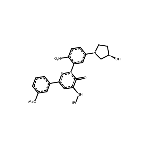 COc1cccc(-c2cc(NC(C)C)c(=O)n(-c3cc(N4CC[C@@H](O)C4)ccc3[N+](=O)[O-])n2)c1